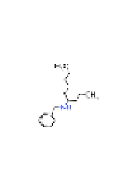 CCCCCC(CCC)NCc1ccccc1